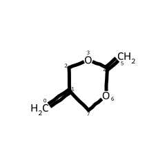 C=C1COC(=C)OC1